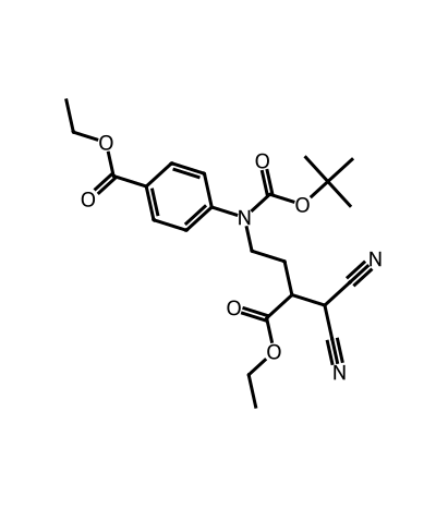 CCOC(=O)c1ccc(N(CCC(C(=O)OCC)C(C#N)C#N)C(=O)OC(C)(C)C)cc1